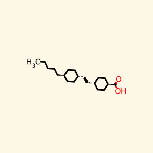 CCCCC[C@H]1CC[C@H](C=C[C@H]2CC[C@H](C(=O)O)CC2)CC1